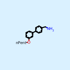 CCCCCOc1cccc(-c2ccc(CN)cc2)c1